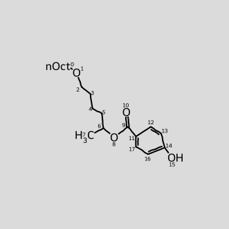 CCCCCCCCOCCCCC(C)OC(=O)c1ccc(O)cc1